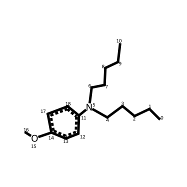 CCCCCN(CCCCC)c1ccc(OC)cc1